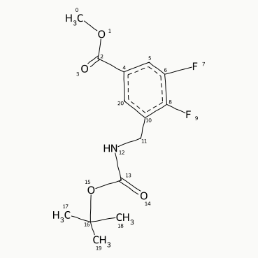 COC(=O)c1cc(F)c(F)c(CNC(=O)OC(C)(C)C)c1